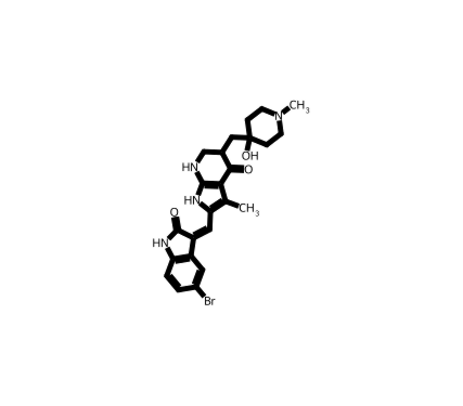 Cc1c(C=C2C(=O)Nc3ccc(Br)cc32)[nH]c2c1C(=O)C(CC1(O)CCN(C)CC1)CN2